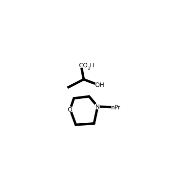 CC(O)C(=O)O.CCCN1CCOCC1